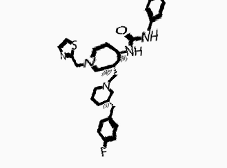 O=C(Nc1ccc(F)cc1)N[C@@H]1CCN(Cc2nccs2)C[C@H]1CN1CCC[C@@H](Cc2ccc(F)cc2)C1